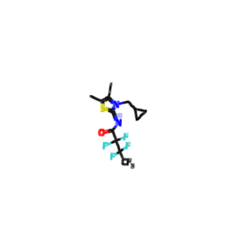 Cc1s/c(=N\C(=O)C(F)(F)C(F)(F)C(F)(F)F)n(CC2CC2)c1C